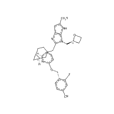 N#Cc1ccc(COc2cccc([C@]34CCN(Cc5nc6cc(C(=O)O)[nH]c6n5C[C@@H]5CCO5)C[C@H]3C4)n2)c(F)c1